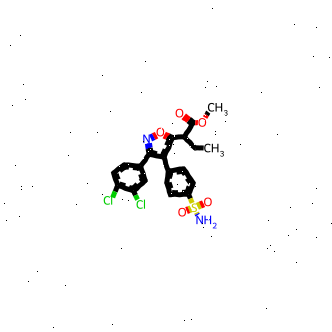 CCC(C(=O)OC)c1onc(-c2ccc(Cl)c(Cl)c2)c1-c1ccc(S(N)(=O)=O)cc1